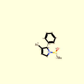 CC(=O)C1=CCN([S@+]([O-])C(C)(C)C)[C@H]1c1ccccc1